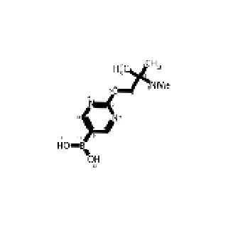 CNC(C)(C)COc1ncc(B(O)O)cn1